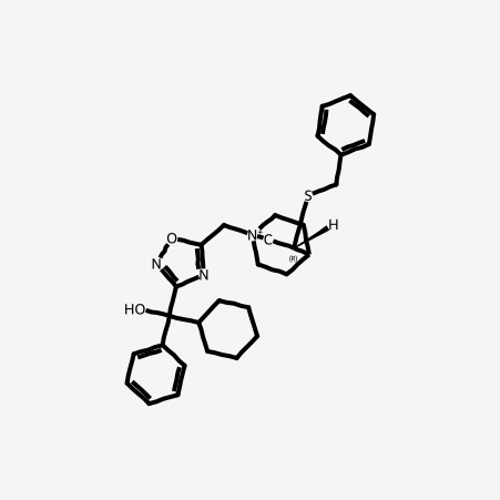 OC(c1ccccc1)(c1noc(C[N+]23CCC(CC2)[C@@H](SCc2ccccc2)C3)n1)C1CCCCC1